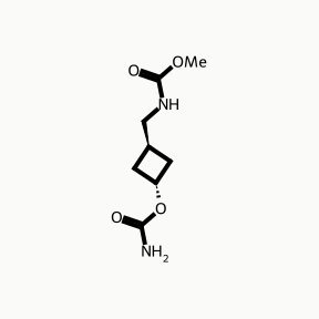 COC(=O)NC[C@H]1C[C@H](OC(N)=O)C1